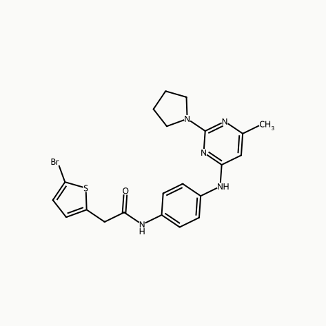 Cc1cc(Nc2ccc(NC(=O)Cc3ccc(Br)s3)cc2)nc(N2CCCC2)n1